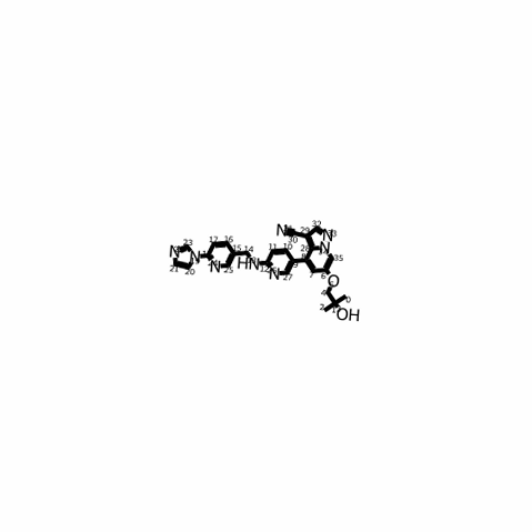 CC(C)(O)COc1cc(-c2ccc(NCc3ccc(-n4ccnc4)nc3)nc2)c2c(C#N)cnn2c1